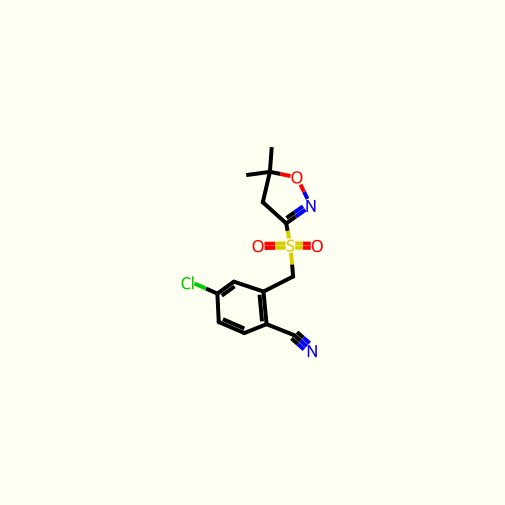 CC1(C)CC(S(=O)(=O)Cc2cc(Cl)ccc2C#N)=NO1